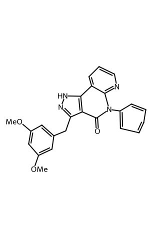 COc1cc(Cc2n[nH]c3c2c(=O)n(-c2ccccc2)c2ncccc32)cc(OC)c1